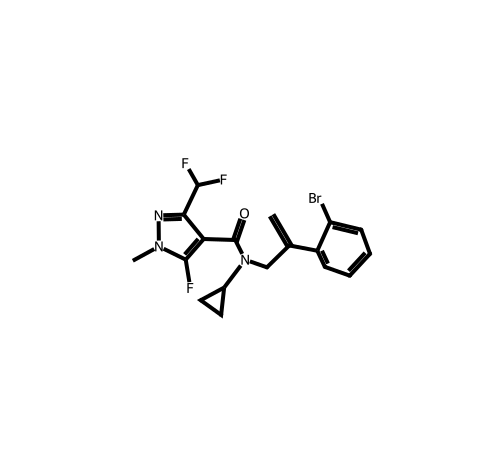 C=C(CN(C(=O)c1c(C(F)F)nn(C)c1F)C1CC1)c1ccccc1Br